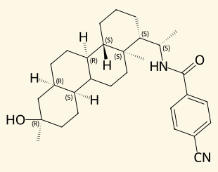 C[C@H](NC(=O)c1ccc(C#N)cc1)[C@H]1CCC[C@H]2[C@@H]3CC[C@@H]4C[C@](C)(O)CC[C@@H]4C3CC[C@]12C